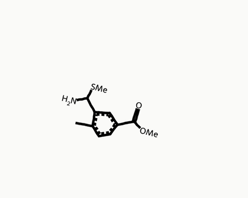 COC(=O)c1ccc(C)c(C(N)SC)c1